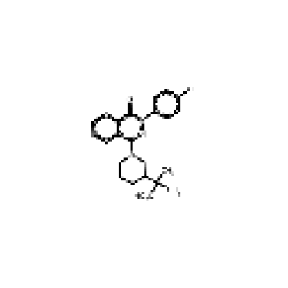 CC(C)(C(=O)O)C1CCCN(c2nn(-c3ccc(Cl)cc3)c(=O)c3ccccc23)C1